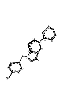 Brc1ccc(Cn2ccc3cc(-c4ccccc4)ccc32)cc1